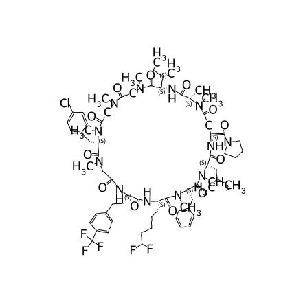 CC[C@H](C)[C@@H]1NC(=O)[C@H](C)N(C)C(=O)C[C@@H](C(=O)N2CCCC2)NC(=O)[C@H](CC(C)C)N(C)C(=O)[C@H](Cc2ccccc2)N(C)C(=O)[C@H](CCCCC(F)F)NC(=O)[C@H](CCc2ccc(C(F)(F)F)cc2)NC(=O)CN(C)C(=O)[C@H](Cc2ccc(Cl)cc2)N(C)C(=O)CN(C)C(=O)CN(C)C1=O